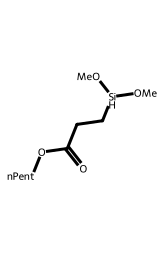 CCCCCOC(=O)CC[SiH](OC)OC